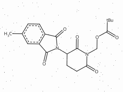 Cc1ccc2c(c1)C(=O)N(C1CCC(=O)N(COC(=O)C(C)(C)C)C1=O)C2=O